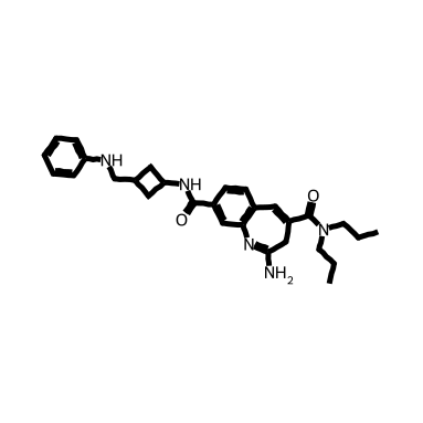 CCCN(CCC)C(=O)C1=Cc2ccc(C(=O)NC3CC(CNc4ccccc4)C3)cc2N=C(N)C1